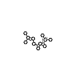 c1ccc(-c2cc(-c3ccccc3)c3c(c2)-c2cccc(-c4cccc(-n5c6ccccc6c6c7c8ccccc8n(-c8cc(-c9ccccc9)nc(-c9ccccc9)n8)c7ccc65)c4)c2C3)cc1